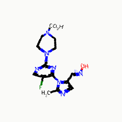 Cc1ncc(/C=N/O)n1-c1nc(N2CCN(C(=O)O)CC2)ncc1F